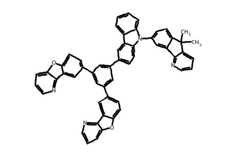 CC1(C)c2ccc(-n3c4ccccc4c4cc(-c5cc(-c6ccc7oc8cccnc8c7c6)cc(-c6ccc7oc8cccnc8c7c6)c5)ccc43)cc2-c2ncccc21